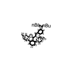 CCCCN(CCCC)c1cccc(C=CC(=O)c2c(N3CCN(C)CC3)cccc2N2CCN(C)CC2)c1